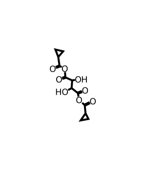 O=C(OC(=O)C(O)C(O)C(=O)OC(=O)C1CC1)C1CC1